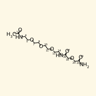 CC(=O)NCCOCCOCCOCCNC(=O)COCC(N)=O